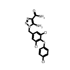 NC(=O)c1nnn(Cc2cc(Cl)c(Sc3ccc(Cl)cc3)c(Cl)c2)c1N